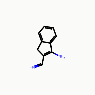 N=CC1=C(N)c2ccccc2C1